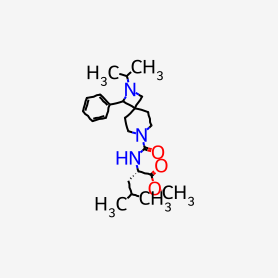 COC(=O)[C@H](CC(C)C)NC(=O)N1CCC2(CC1)CN(C(C)C)C2c1ccccc1